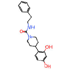 O=C(NCCc1ccccc1)N1CCC(c2ccc(O)cc2O)CC1